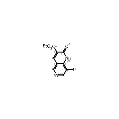 CCOC(=O)c1cc2cncc(I)c2[nH]c1=O